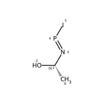 C[C@H](O)N=PI